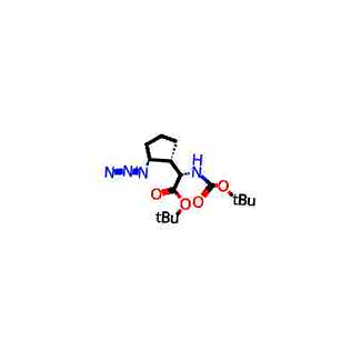 CC(C)(C)OC(=O)N[C@H](C(=O)OC(C)(C)C)[C@H]1CCC[C@H]1N=[N+]=[N-]